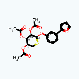 CC(=O)O[C@@H]1[C@@H](OC(C)=O)[C@@H](Oc2cccc(-c3ccco3)c2)SC[C@H]1OC(C)=O